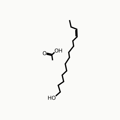 CC(=O)O.CC/C=C\CCCCCCCCCCO